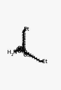 CCC#CCCCCCCCCCCSCC(=O)OC[C@H](COP(=O)(O)OCCN)OC(=O)CSCCCCCCCCCCC#CCC